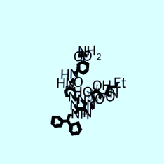 CCc1cc([C@H]2O[C@@H](n3cnc4c(NCC(c5ccccc5)c5ccccc5)nc(N5CC[C@H](NC(=O)Nc6cccc(S(N)(=O)=O)c6)C5)nc43)[C@H](O)[C@@H]2O)on1